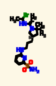 C=C(NC(C)Br)N1C[C@@H](CCCNc2cccc(S(N)(=O)=O)n2)CC1(C)C